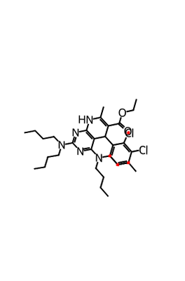 CCCCN(CCCC)c1nc2c(c(N(CCCC)CCCC)n1)C(c1cccc(Cl)c1Cl)C(C(=O)OCC)=C(C)N2